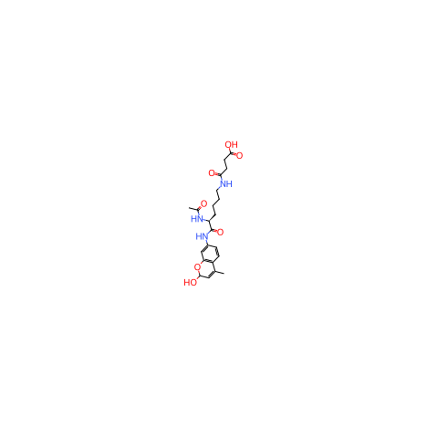 CC(=O)N[C@@H](CCCCNC(=O)CCC(=O)O)C(=O)Nc1ccc2c(c1)OC(O)C=C2C